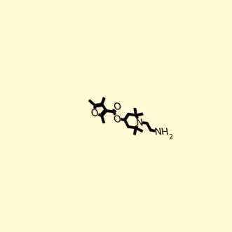 Cc1oc(C)c(C(=O)OC2CC(C)(C)N(CCN)C(C)(C)C2)c1C